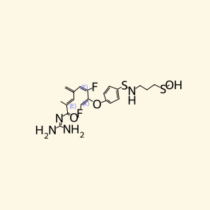 C=C(/C=C(\C)C(=O)N=C(N)N)/C=C(F)\C(=C\F)Oc1ccc(SNCCCSO)cc1